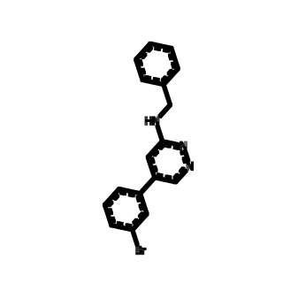 Brc1cccc(-c2cnnc(NCc3ccccc3)c2)c1